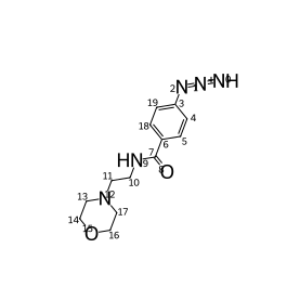 N=[N+]=Nc1ccc(C(=O)NCCN2CCOCC2)cc1